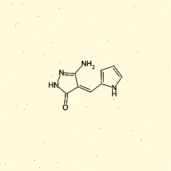 NC1=NNC(=O)/C1=C/c1ccc[nH]1